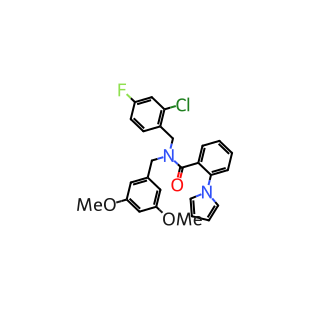 COc1cc(CN(Cc2ccc(F)cc2Cl)C(=O)c2ccccc2-n2cccc2)cc(OC)c1